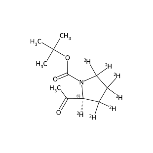 [2H]C1([2H])N(C(=O)OC(C)(C)C)[C@]([2H])(C(C)=O)C([2H])([2H])C1([2H])[2H]